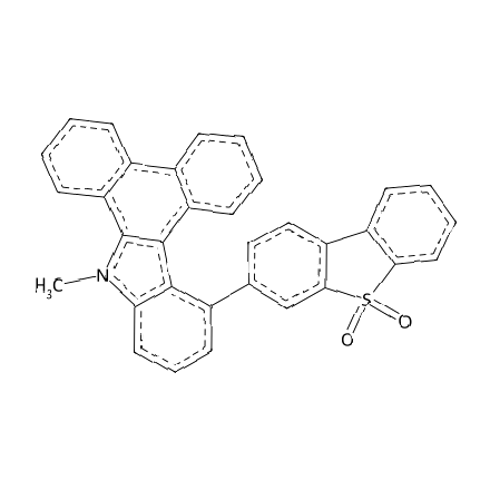 Cn1c2cccc(-c3ccc4c(c3)S(=O)(=O)c3ccccc3-4)c2c2c3ccccc3c3ccccc3c21